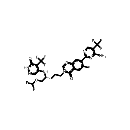 Nc1nc(-c2cc3ncn(CCC[C@H](COC(F)F)Nc4cn[nH]c(=O)c4C(F)(F)F)c(=O)c3cc2F)ncc1C(F)(F)F